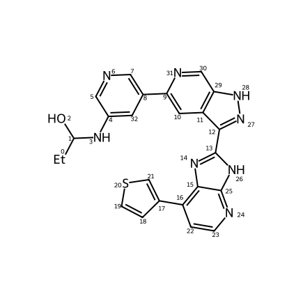 CCC(O)Nc1cncc(-c2cc3c(-c4nc5c(-c6ccsc6)ccnc5[nH]4)n[nH]c3cn2)c1